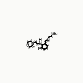 CC(C)(C)CC/N=C/c1cccc(F)c1NCCN1CCOCC1